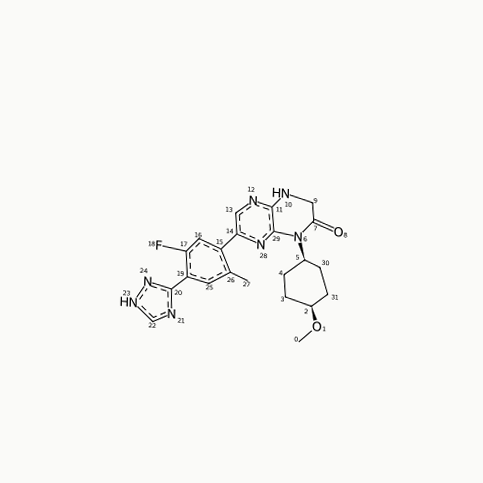 CO[C@H]1CC[C@@H](N2C(=O)CNc3ncc(-c4cc(F)c(-c5nc[nH]n5)cc4C)nc32)CC1